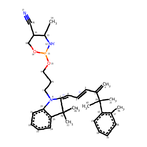 C=C(/C=C/C=C1/N(CCCOP2NC(C)C(C#N)CO2)c2ccccc2C1(C)C)C(C)(C)c1ccccc1C